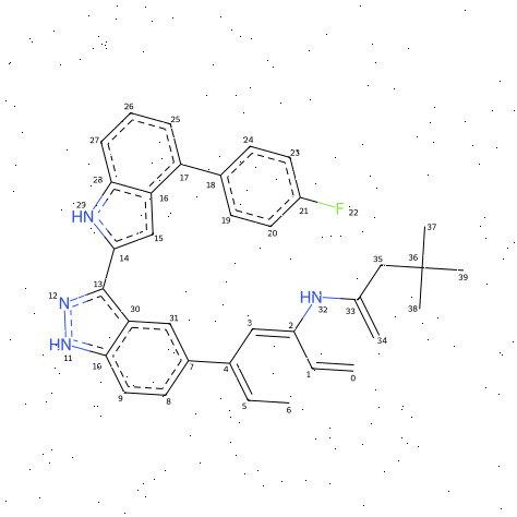 C=C/C(=C\C(=C/C)c1ccc2[nH]nc(-c3cc4c(-c5ccc(F)cc5)cccc4[nH]3)c2c1)NC(=C)CC(C)(C)C